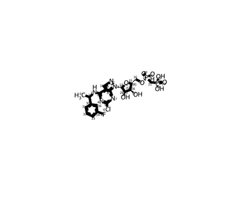 CC(Nc1nc(Cl)nc2c1cnn2[C@@H]1O[C@H](COP(=O)(O)CP(=O)(O)O)[C@@H](O)[C@H]1O)c1cccc(F)c1